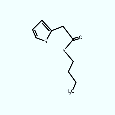 CCCCSC(=O)Cc1cccs1